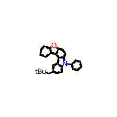 CC(C)(C)Cc1ccc2c(c1)c1c3c(ccc1n2-c1ccccc1)oc1ccccc13